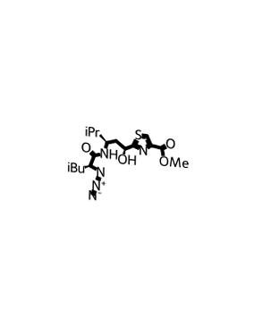 CCC(C)[C@H](N=[N+]=[N-])C(=O)N[C@H](C[C@H](O)c1nc(C(=O)OC)cs1)C(C)C